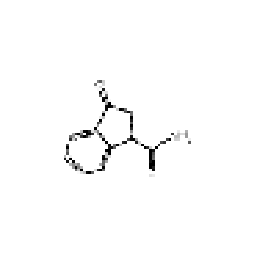 NC(=O)C1CC(=O)c2ccccc21